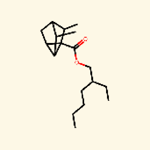 CCCCC(CC)COC(=O)C12C(C)C3CC1C2C3C